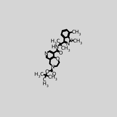 Cc1cccc2c(C(C)(C)NC(=O)c3cncc4c3OCCN(C(=O)OC(C)(C)C)C4)nn(C)c12